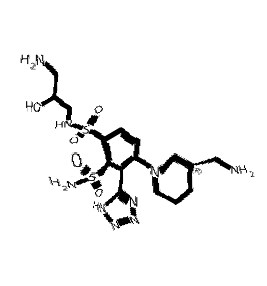 NCC(O)CNS(=O)(=O)c1ccc(N2CCC[C@H](CN)C2)c(-c2nnn[nH]2)c1S(N)(=O)=O